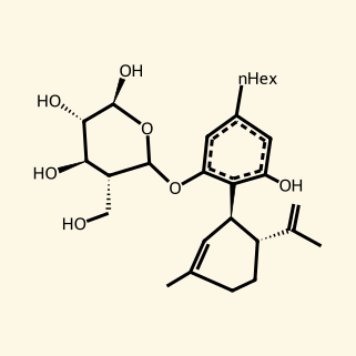 C=C(C)[C@@H]1CCC(C)=C[C@H]1c1c(O)cc(CCCCCC)cc1OC1O[C@H](O)[C@@H](O)[C@H](O)[C@H]1CO